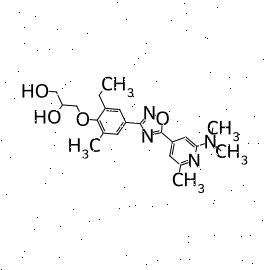 CCc1cc(-c2noc(-c3cc(C)nc(N(C)C)c3)n2)cc(C)c1OCC(O)CO